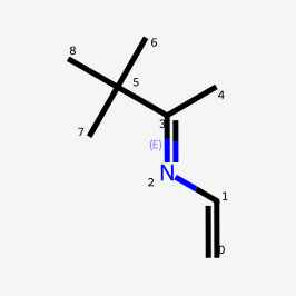 C=C/N=C(\C)C(C)(C)C